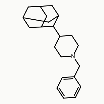 c1ccc(CN2CCC(C3C4CC5CC(C4)CC3C5)CC2)cc1